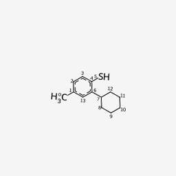 Cc1ccc(S)c(C2CCCCC2)c1